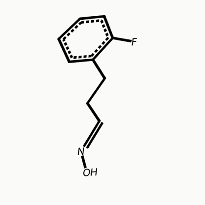 ON=CCCc1ccccc1F